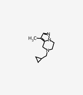 Cc1cnn2c1CN(CC1CC1)CC2